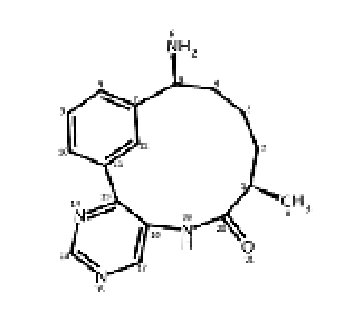 C[C@@H]1CCC[C@H](N)c2cccc(c2)-c2ncncc2NC1=O